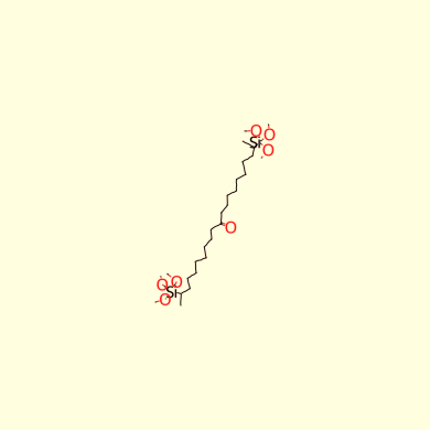 CO[Si](OC)(OC)C(C)CCCCCCCCC(=O)CCCCCCCCC(C)[Si](OC)(OC)OC